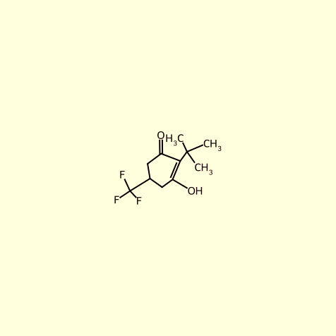 CC(C)(C)C1=C(O)CC(C(F)(F)F)CC1=O